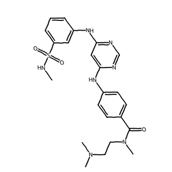 CNS(=O)(=O)c1cccc(Nc2cc(Nc3ccc(C(=O)N(C)CCN(C)C)cc3)ncn2)c1